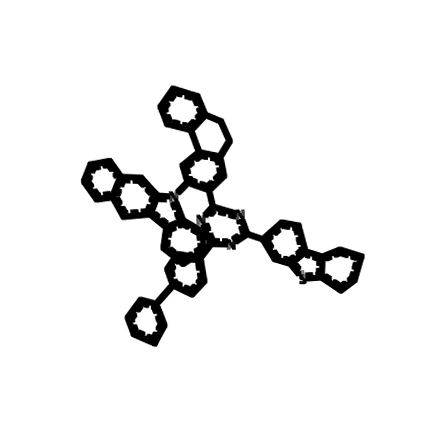 c1ccc(-c2ccc(-c3nc(-c4ccc5c(c4)sc4ccccc45)nc(-c4cc5c(cc4-n4c6ccccc6c6cc7ccccc7cc64)-c4ccccc4CC5)n3)cc2)cc1